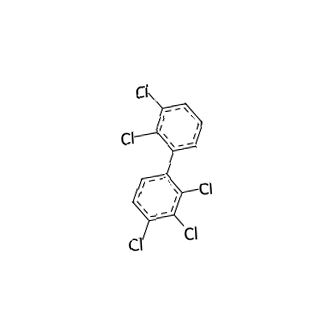 Clc1cccc(-c2ccc(Cl)c(Cl)c2Cl)c1Cl